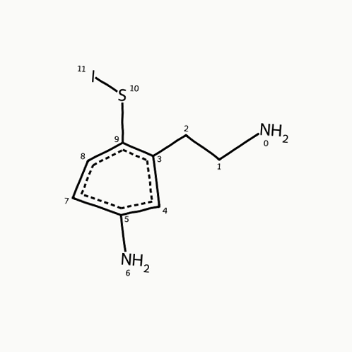 NCCc1cc(N)ccc1SI